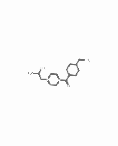 CCC1CCC(C(=O)N2CCN(CC(C)C)CC2)CC1